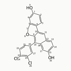 Oc1ccc2c(c1)COc1c-2cc2ccc(O)cc2c1-c1ccc(Cl)c(Cl)c1